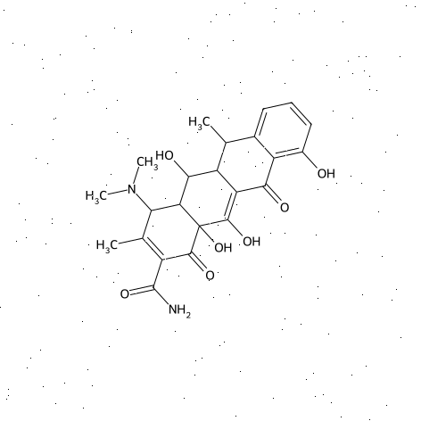 CC1=C(C(N)=O)C(=O)C2(O)C(O)=C3C(=O)c4c(O)cccc4C(C)C3C(O)C2C1N(C)C